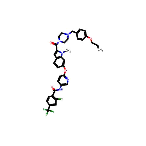 CCCOc1ccc(CN2CCN(C(=O)c3cc4ccc(Oc5ccc(NC(=O)c6ccc(C(F)(F)F)cc6Cl)cn5)cc4n3C)CC2)cc1